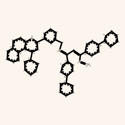 C=N/C(=C\C(=N/Cc1cccc(-c2cc(-c3ccccc3)c3c(ccc4ccccc43)n2)c1)c1ccc(-c2ccccc2)cc1)c1ccc(-c2ccccc2)cc1